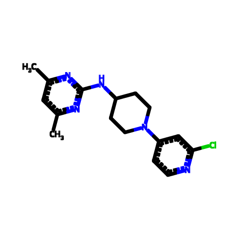 Cc1cc(C)nc(NC2CCN(c3ccnc(Cl)c3)CC2)n1